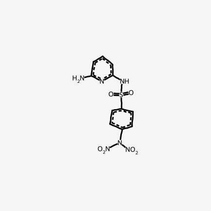 Nc1cccc(NS(=O)(=O)c2ccc(N([N+](=O)[O-])[N+](=O)[O-])cc2)n1